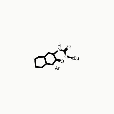 CC(C)(C)OC(=O)NC1CC2CCCCC2CC1=O.[Ar]